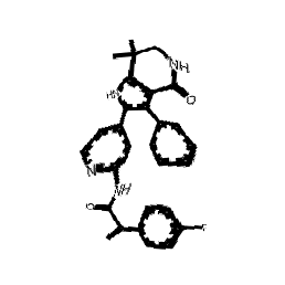 CC(C(=O)Nc1cc(-c2[nH]c3c(c2-c2ccccc2)C(=O)NCC3(C)C)ccn1)c1ccc(F)cc1